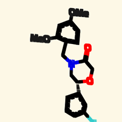 COc1ccc(CN2C[C@@H](c3cccc(F)c3)OCC2=O)c(OC)c1